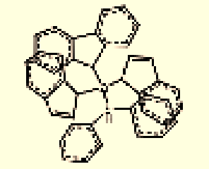 C1=C[CH]([Zr]([CH]2C=Cc3ccccc32)([CH]2c3ccccc3-c3ccccc32)[SiH](c2ccccc2)c2ccccc2)c2ccccc21